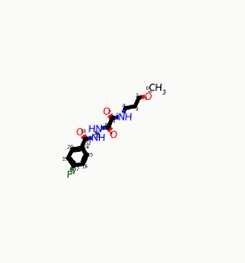 COCCCNC(=O)C(=O)NNC(=O)c1ccc(F)cc1